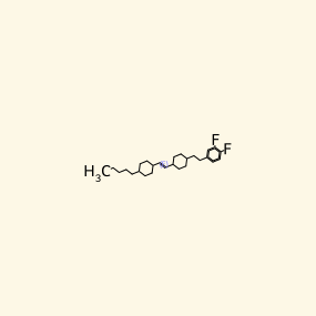 CCCCCC1CCC(/C=C/C2CCC(CCc3ccc(F)c(F)c3)CC2)CC1